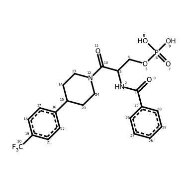 O=C(NC(COP(=O)(O)O)C(=O)N1CCC(c2ccc(C(F)(F)F)cc2)CC1)c1ccccc1